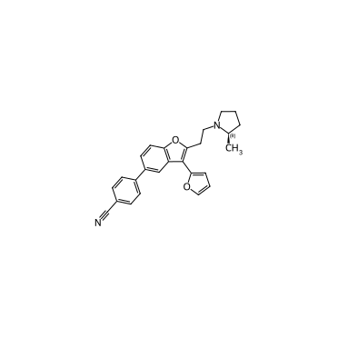 C[C@@H]1CCCN1CCc1oc2ccc(-c3ccc(C#N)cc3)cc2c1-c1ccco1